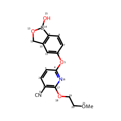 [C-]#[N+]c1ccc(Oc2ccc3c(c2)COB3O)nc1OCCOC